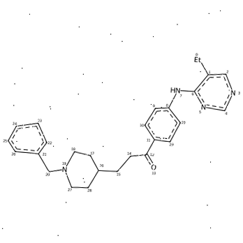 CCc1cncnc1Nc1ccc(C(=O)CCC2CCN(Cc3ccccc3)CC2)cc1